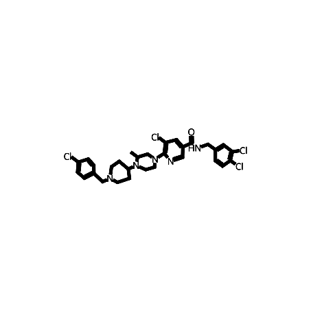 CC1CN(c2ncc(C(=O)NCc3ccc(Cl)c(Cl)c3)cc2Cl)CCN1C1CCN(Cc2ccc(Cl)cc2)CC1